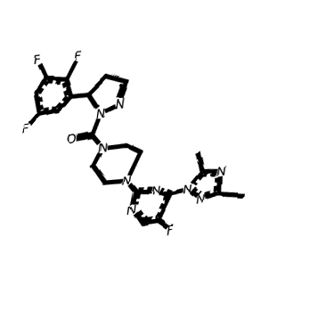 Cc1nc(C)n(-c2nc(N3CCN(C(=O)N4N=CCC4c4cc(F)cc(F)c4F)CC3)ncc2F)n1